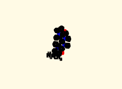 CC(C)(C)c1ccc2oc3cc4c5c(c3c2c1)N(c1ccccc1)c1ccccc1B5c1cc2c(cc1N4c1ccccc1)N(c1ccccc1-c1ccccc1)c1cc3oc4ccccc4c3c3c1B2c1ccccc1N3c1ccccc1